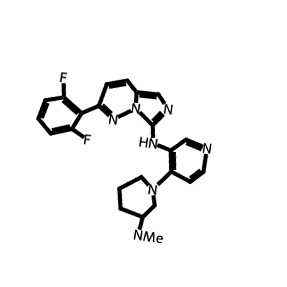 CNC1CCCN(c2ccncc2Nc2ncc3ccc(-c4c(F)cccc4F)nn23)C1